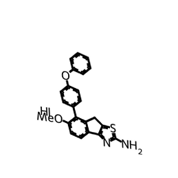 COc1ccc2c(c1-c1ccc(Oc3ccccc3)cc1)Cc1sc(N)nc1-2.I